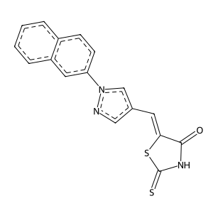 O=C1NC(=S)S/C1=C\c1cnn(-c2ccc3ccccc3c2)c1